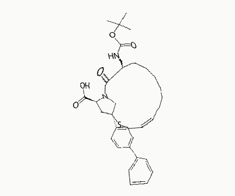 CC(C)(C)OC(=O)N[C@H]1CCCCCCC=CCS[C@@]2(c3ccc(-c4ccccc4)cc3)C[C@@H](C(=O)O)N(C2)C1=O